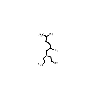 CC(O)COC(C)CN(CCO)CCO